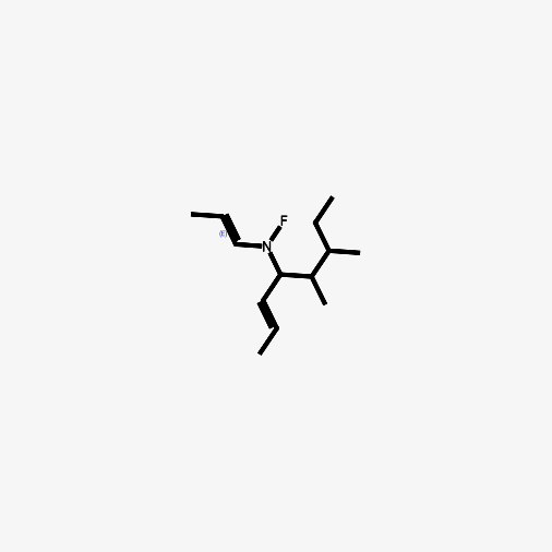 CC=CC(C(C)C(C)CC)N(F)/C=C/C